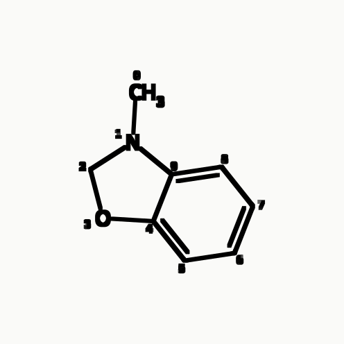 CN1COc2ccccc21